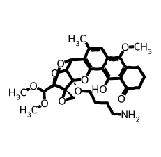 COc1c2c(c(O)c3c4c(c(C)cc13)C1OC3(C(OC)OC)OC1[C@@](OCCCCN)(O4)[C@@]31CO1)C(=O)CCC2